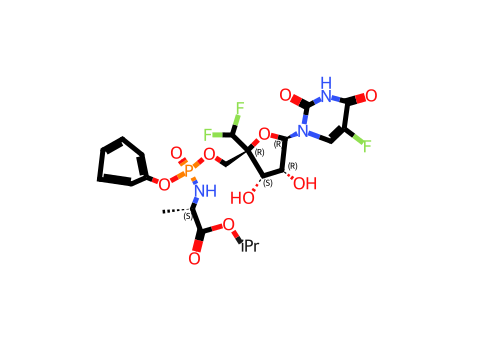 CC(C)OC(=O)[C@H](C)NP(=O)(OC[C@@]1(C(F)F)O[C@@H](n2cc(F)c(=O)[nH]c2=O)[C@H](O)[C@@H]1O)Oc1ccccc1